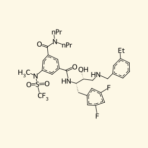 CCCN(CCC)C(=O)c1cc(C(=O)N[C@@H](Cc2cc(F)cc(F)c2)[C@H](O)CNCc2cccc(CC)c2)cc(N(C)S(=O)(=O)C(F)(F)F)c1